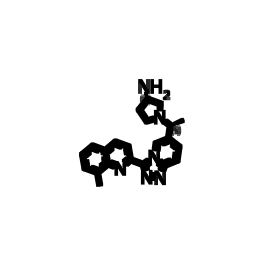 Cc1cccc2ccc(-c3nnc4ccc([C@H](C)N5CC[C@H](N)C5)cn34)nc12